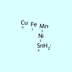 [Cu].[Fe].[Mn].[Ni].[SnH2]